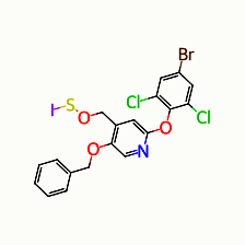 Clc1cc(Br)cc(Cl)c1Oc1cc(COSI)c(OCc2ccccc2)cn1